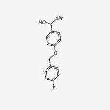 CCCC(O)c1ccc(OCc2ccc(F)cc2)cc1